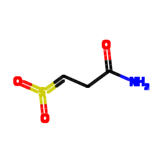 NC(=O)CC=S(=O)=O